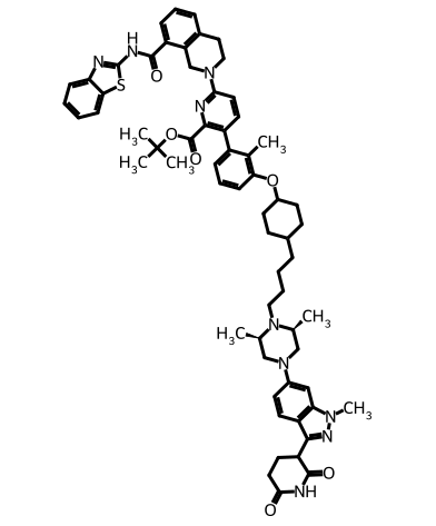 Cc1c(OC2CCC(CCCCN3[C@H](C)CN(c4ccc5c(C6CCC(=O)NC6=O)nn(C)c5c4)C[C@@H]3C)CC2)cccc1-c1ccc(N2CCc3cccc(C(=O)Nc4nc5ccccc5s4)c3C2)nc1C(=O)OC(C)(C)C